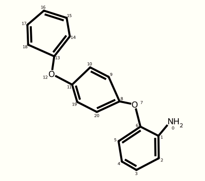 Nc1ccccc1Oc1ccc(Oc2ccccc2)cc1